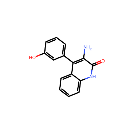 Nc1c(-c2cccc(O)c2)c2ccccc2[nH]c1=O